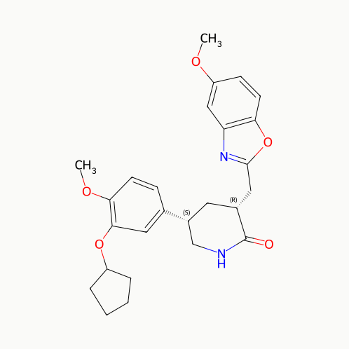 COc1ccc2oc(C[C@H]3C[C@@H](c4ccc(OC)c(OC5CCCC5)c4)CNC3=O)nc2c1